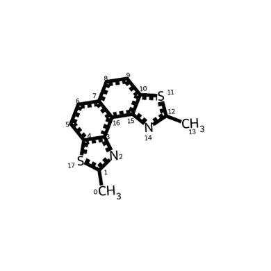 Cc1nc2c(ccc3ccc4sc(C)nc4c32)s1